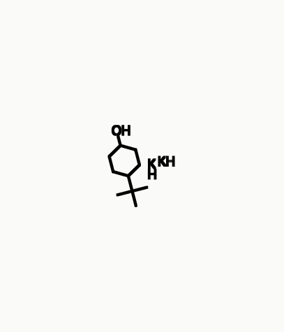 CC(C)(C)C1CCC(O)CC1.[KH].[KH]